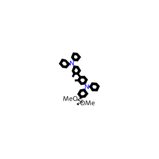 CO[Si](C)(OC)c1ccc(N(c2ccccc2)c2ccc(-c3ccc(N(c4ccccc4)c4ccccc4)cc3C)c(C)c2)cc1